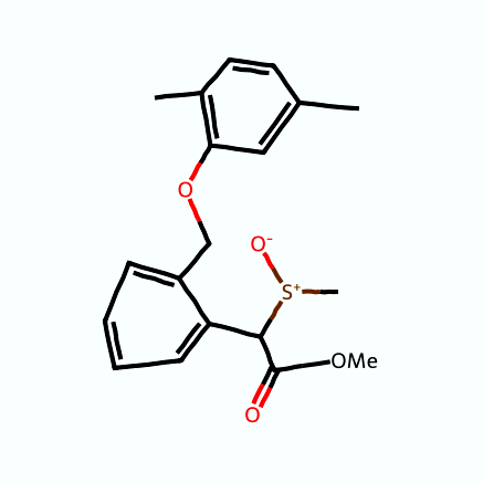 COC(=O)C(c1ccccc1COc1cc(C)ccc1C)[S+](C)[O-]